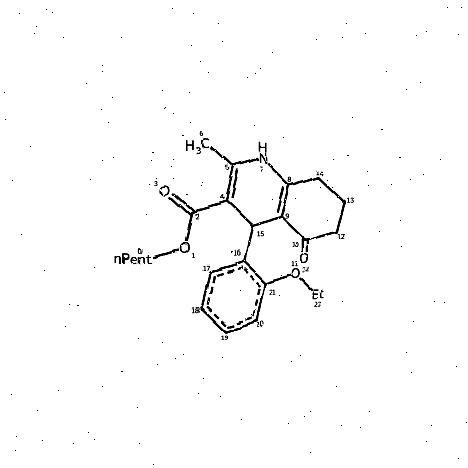 CCCCCOC(=O)C1=C(C)NC2=C(C(=O)CCC2)C1c1ccccc1OCC